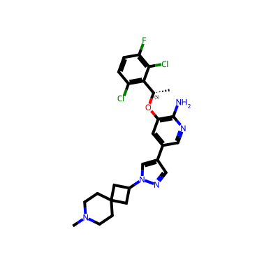 C[C@H](Oc1cc(-c2cnn(C3CC4(CCN(C)CC4)C3)c2)cnc1N)c1c(Cl)ccc(F)c1Cl